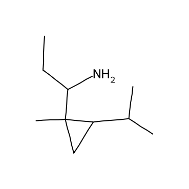 CCC(N)C1(C)CC1C(C)C